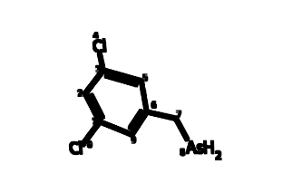 Clc1cc(Cl)cc(C[AsH2])c1